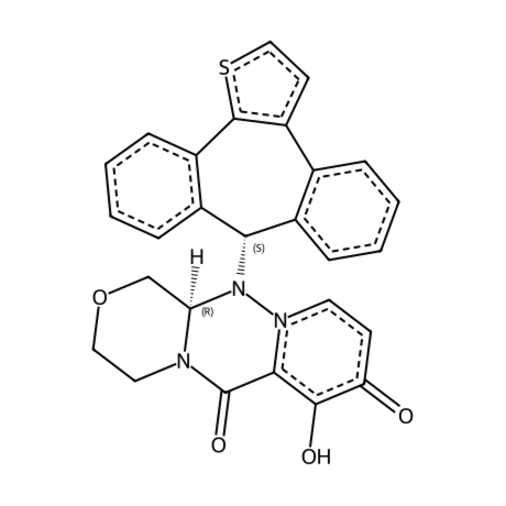 O=C1c2c(O)c(=O)ccn2N([C@H]2c3ccccc3-c3ccsc3-c3ccccc32)[C@@H]2COCCN12